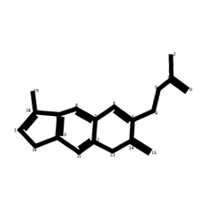 C=C(C)CCC1=Cc2cc3c(cc2CC1=C)CC=C3C